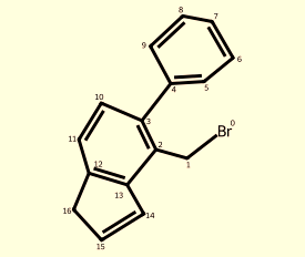 BrCc1c(-c2ccccc2)ccc2c1C=CC2